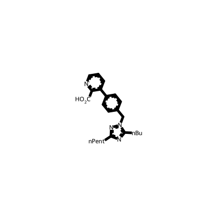 CCCCCc1nc(CCCC)n(Cc2ccc(-c3cccnc3C(=O)O)cc2)n1